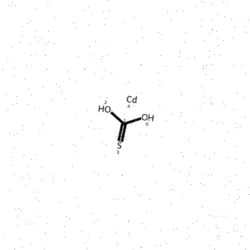 OC(O)=S.[Cd]